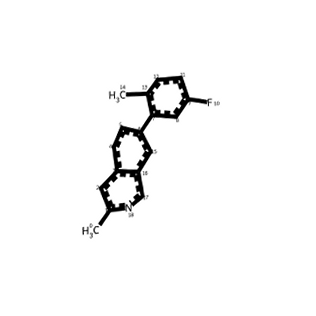 Cc1cc2ccc(-c3cc(F)ccc3C)cc2cn1